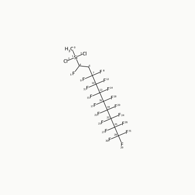 C[Si](Cl)(Cl)C(F)CC(F)(F)C(F)(F)C(F)(F)C(F)(F)C(F)(F)C(F)(F)C(F)(F)C(F)(F)F